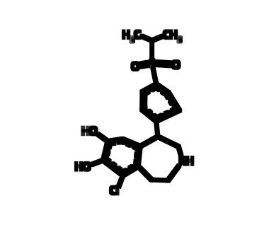 CC(C)S(=O)(=O)c1ccc(C2CNCCc3c2cc(O)c(O)c3Cl)cc1